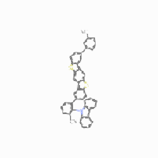 N#Cc1cccc(-c2ccc3sc4cc5c(cc4c3c2)sc2ccc(-c3cccc(C#N)c3-n3c4ccccc4c4ccccc43)cc25)c1